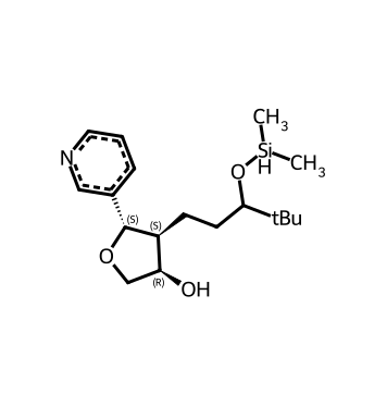 C[SiH](C)OC(CC[C@@H]1[C@@H](c2cccnc2)OC[C@@H]1O)C(C)(C)C